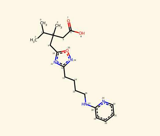 CC(C)C(C)(CC(=O)O)Cc1nc(CCCCNc2ccccn2)no1